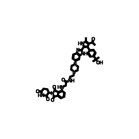 CC(=O)c1c(C)[nH]c(-c2nc3ccc(N4CCN(CCNC(=O)CNc5cccc6c5C(=O)N(C5CCC(=O)NC5=O)C6=O)CC4)cc3[nH]2)c1-c1ccc(C(C)(C)O)cc1